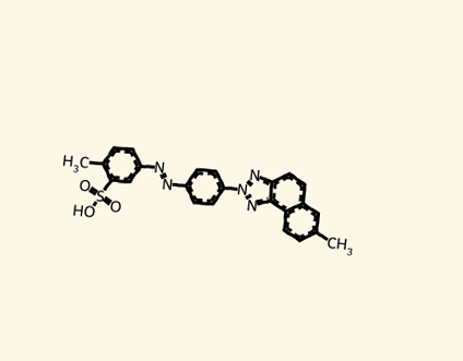 Cc1ccc2c(ccc3nn(-c4ccc(N=Nc5ccc(C)c(S(=O)(=O)O)c5)cc4)nc32)c1